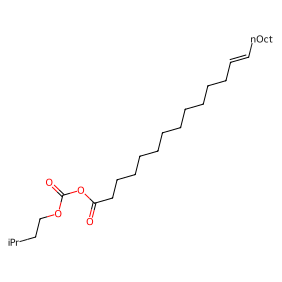 CCCCCCCCC=CCCCCCCCCCCCC(=O)OC(=O)OCCC(C)C